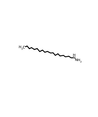 CCCCCCCCCCCCCCCCCCCNN